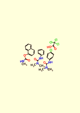 CN(C)C(=O)Nc1ccc(Cl)cc1.CN(C)C(=O)Nc1ccccc1.CNC(=O)Oc1cccc2ccccc12.O=C(O)C(Cl)(Cl)Cl